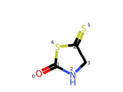 O=C1NCC(=S)S1